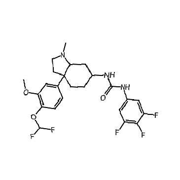 COc1cc(C23CCC(NC(=O)Nc4cc(F)c(F)c(F)c4)CC2N(C)CC3)ccc1OC(F)F